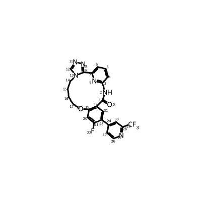 O=C1Nc2cccc(n2)-c2nncn2CCCCOc2cc(F)c(-c3ccnc(C(F)(F)F)c3)cc21